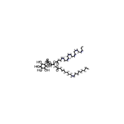 CC/C=C\C/C=C\C/C=C\C/C=C\C/C=C\C/C=C\CCC(=O)O[C@H](COC(=O)CCCCCCC/C=C\CCCCCCCC)COP(=O)(O)OC1C(O)C(O)C(O)[C@@H](O)C1O